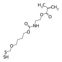 C=C(C)C(=O)OCCNC(=O)OCCCCOCSS